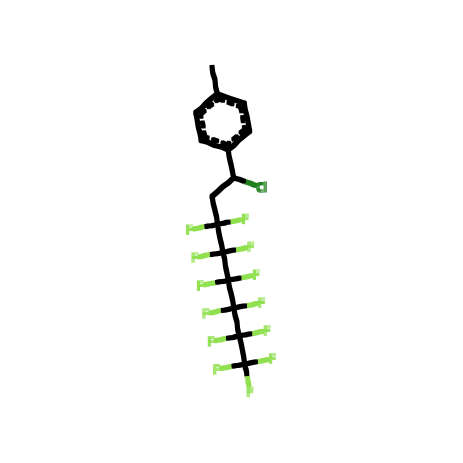 Cc1ccc(C(Cl)CC(F)(F)C(F)(F)C(F)(F)C(F)(F)C(F)(F)C(F)(F)F)cc1